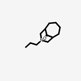 CCCN1CC2CCCCC(C1)C2=O